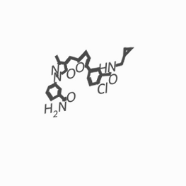 CC1=NN(c2cccc(C(N)=O)c2)C(=O)/C1=C\c1ccc(-c2ccc(Cl)c(C(=O)NCC3CC3)c2)o1